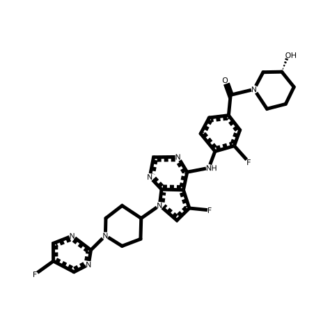 O=C(c1ccc(Nc2ncnc3c2c(F)cn3C2CCN(c3ncc(F)cn3)CC2)c(F)c1)N1CCC[C@@H](O)C1